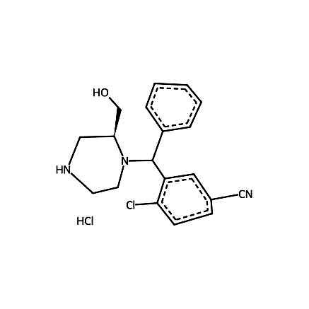 Cl.N#Cc1ccc(Cl)c(C(c2ccccc2)N2CCNC[C@H]2CO)c1